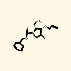 C=CCO[C@H]1[C@@H](COC(C)=O)N(C(=O)OCc2ccccc2)C[C@@H]1F